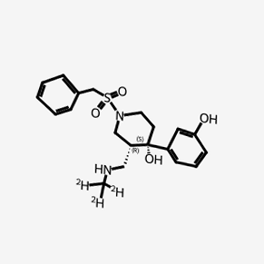 [2H]C([2H])([2H])NC[C@@H]1CN(S(=O)(=O)Cc2ccccc2)CC[C@@]1(O)c1cccc(O)c1